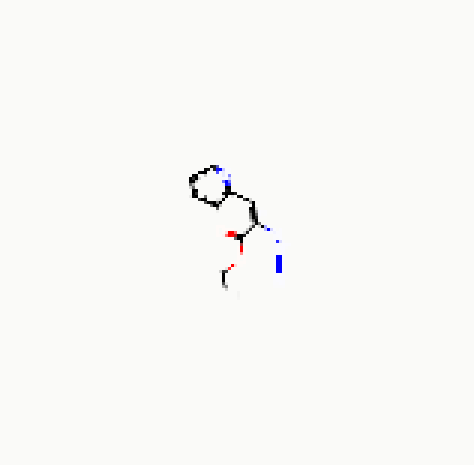 CCOC(=O)/C(=C\c1ccccn1)N=[N+]=[N-]